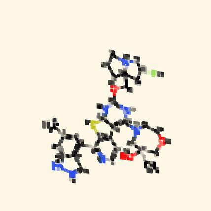 Cc1cc(-c2nccc3c2sc2nc(OC[C@@]45CCCN4C[C@H](F)C5)nc(N4CCOC[C@@](C)(O)C4)c23)c2cn[nH]c2c1